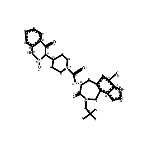 CC(C)(C)CN1Cc2c(cc(Cl)c3[nH]ncc23)C[C@@H](CC(=O)N2CCC(C3C(=O)c4ccccc4N[S+]3[O-])CC2)C1=O